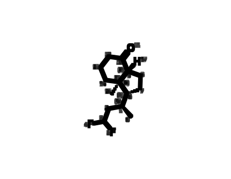 C[C@@H](CC(F)F)[C@H]1CC[C@H]2C(=O)CCC[C@]12C